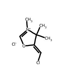 C[N+]1=COC(=CCl)C1(C)C.[Cl-]